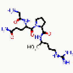 N=C(N)NCCCC(NC(=O)C1CCCN1C(=O)C(CCC(N)=O)NC(=O)CN)C(=O)O